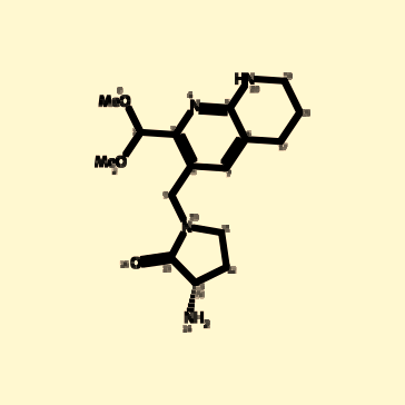 COC(OC)c1nc2c(cc1CN1CC[C@H](N)C1=O)CCCN2